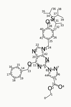 CCOC(=O)c1cnn(-c2nc(OCc3ccccc3)c3ncn(Cc4ccc(O[Si](C(C)C)(C(C)C)C(C)C)cc4)c3n2)c1